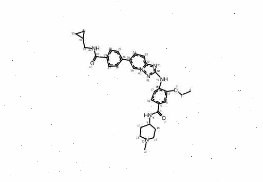 CCOc1cc(C(=O)NC2CCN(C)CC2)ccc1Nc1nc2ccc(-c3ccc(C(=O)NCC4CC4)cc3)cn2n1